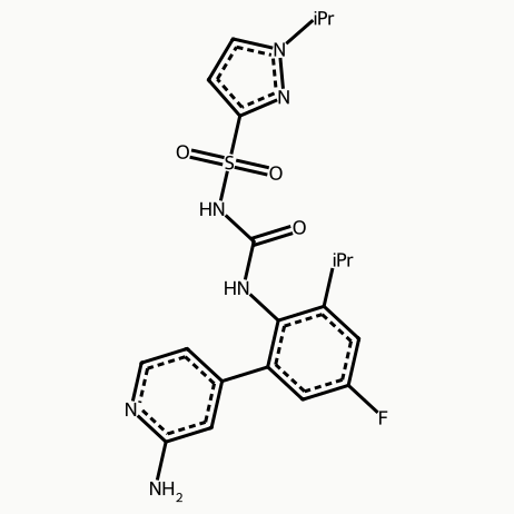 CC(C)c1cc(F)cc(-c2ccnc(N)c2)c1NC(=O)NS(=O)(=O)c1ccn(C(C)C)n1